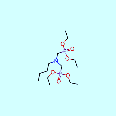 CCCCN(CP(=O)(OCC)OCC)CP(=O)(OCC)OCC